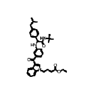 CCOC(=O)CCCn1cc(C(=O)c2cccc(NC(C(=O)NC(C)(C)C)c3ccc(CC(C)C)cc3)c2)c2ccccc21